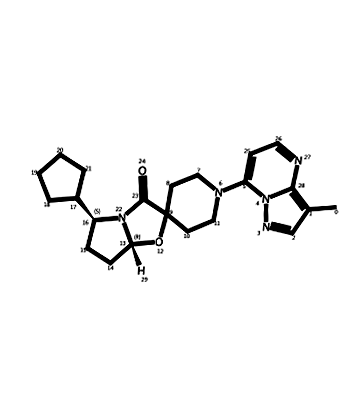 Cc1cnn2c(N3CCC4(CC3)O[C@@H]3CC[C@@H](C5CCCC5)N3C4=O)ccnc12